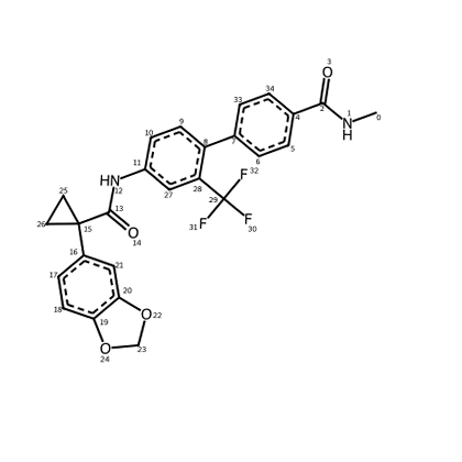 CNC(=O)c1ccc(-c2ccc(NC(=O)C3(c4ccc5c(c4)OCO5)CC3)cc2C(F)(F)F)cc1